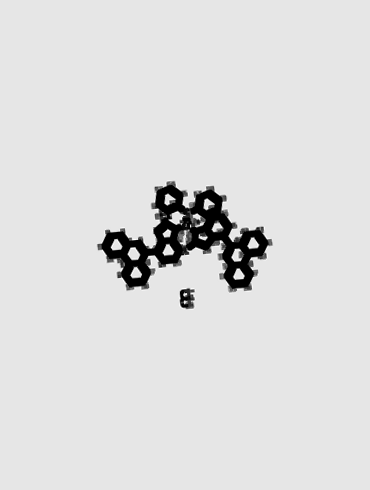 CCC1=Cc2c(-c3cc4ccccc4c4ccccc34)cccc2[CH]1[Zr+2]([CH]1C(CC)=Cc2c(-c3cc4ccccc4c4ccccc34)cccc21)=[Si](c1ccccc1)c1ccccc1.[Cl-].[Cl-]